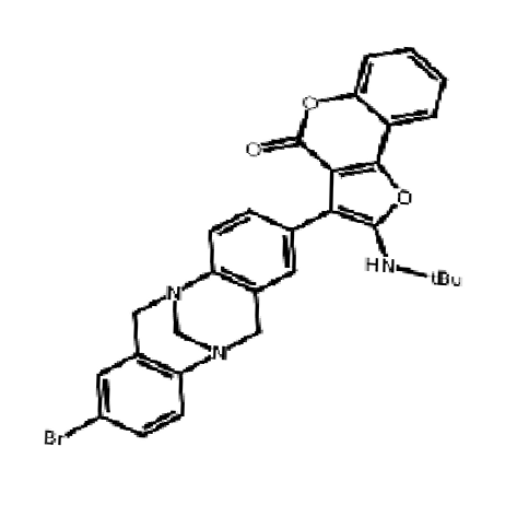 CC(C)(C)Nc1oc2c(c1-c1ccc3c(c1)CN1CN3Cc3cc(Br)ccc31)c(=O)oc1ccccc12